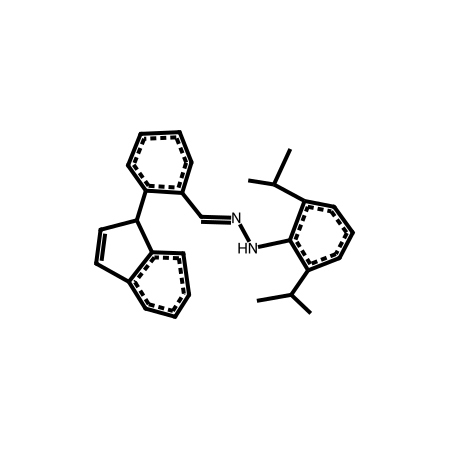 CC(C)c1cccc(C(C)C)c1NN=Cc1ccccc1C1C=Cc2ccccc21